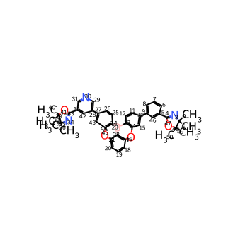 CC1(C)N=C(c2cccc(-c3ccc4c(c3)Oc3cccc5c3B4c3ccc(-c4cncc(C6=NC(C)(C)C(C)(C)O6)c4)cc3O5)c2)OC1(C)C